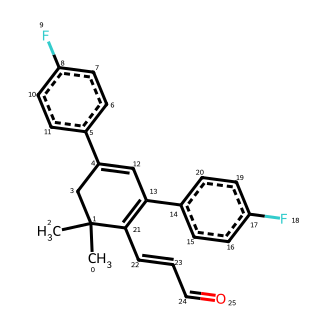 CC1(C)CC(c2ccc(F)cc2)=CC(c2ccc(F)cc2)=C1/C=C/C=O